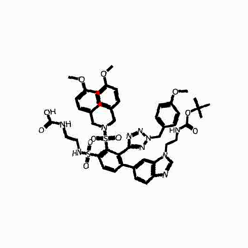 COc1ccc(CN(Cc2ccc(OC)cc2)S(=O)(=O)c2c(S(=O)(=O)NCCNC(=O)O)ccc(-c3ccc4ncn(CCNC(=O)OC(C)(C)C)c4c3)c2-c2nnn(Cc3ccc(OC)cc3)n2)cc1